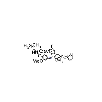 COc1cc(/C=C2/C(C)=C(CC(=O)NCc3cccnc3)c3cc(F)ccc32)cc(OC)c1OC(=O)NCCN(C)C